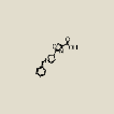 O=C(O)c1coc(C2CCN(Cc3ccccc3)C2)n1